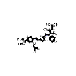 [C-]#[N+]C1=C(/C=C/c2ccc(/C=C/c3ccc(N(CCCC)CCCC)cc3OCC(=C)C)s2)C(C)(c2ccccc2)OC1=C(C#N)C#N